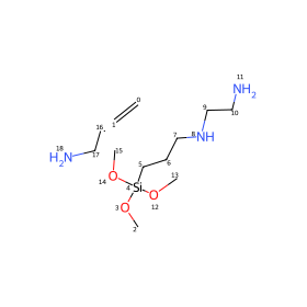 C=C.CO[Si](CCCNCCN)(OC)OC.[CH2]CN